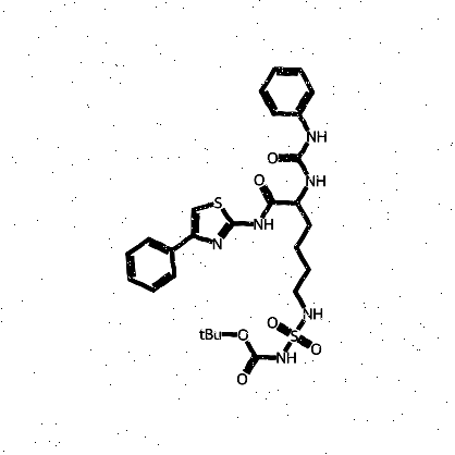 CC(C)(C)OC(=O)NS(=O)(=O)NCCCCC(NC(=O)Nc1ccccc1)C(=O)Nc1nc(-c2ccccc2)cs1